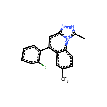 Cc1nnc2cc(-c3ccccc3Cl)c3cc(C(F)(F)F)ccc3n12